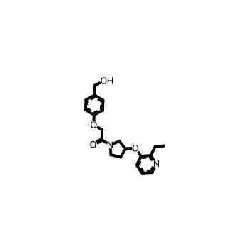 CCc1ncccc1OC1CCN(C(=O)COc2ccc(CO)cc2)C1